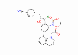 CCOC(=O)CN1CC=Cc2cccc(-c3cc(N=S(=O)=O)c4c(Br)c(Cc5ccc(C#N)cc5)oc4c3)c21